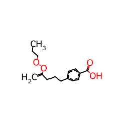 C=C(CCCc1ccc(C(=O)O)cc1)OOCCC